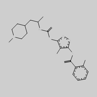 CC(CC1CCN(C)CC1)NC(=O)Oc1n[nH]c(NC(=O)c2ccccc2Cl)c1Br